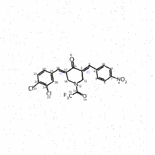 O=C1/C(=C/c2ccc([N+](=O)[O-])cc2)CN(C(=O)C(F)(F)F)C/C1=C\c1ccc(Cl)c(Cl)c1